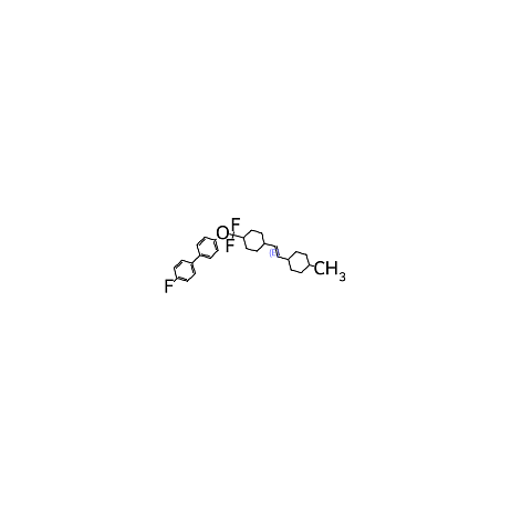 CC1CCC(/C=C/C2CCC(C(F)(F)Oc3ccc(-c4ccc(F)cc4)cc3)CC2)CC1